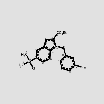 CCOC(=O)c1cc2cc([Si](C)(C)C)ccc2n1Cc1cccc(F)c1